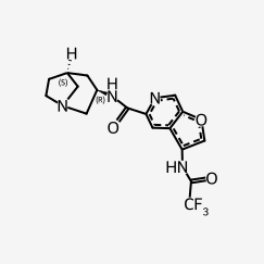 O=C(N[C@@H]1C[C@@H]2CCN(C2)C1)c1cc2c(NC(=O)C(F)(F)F)coc2cn1